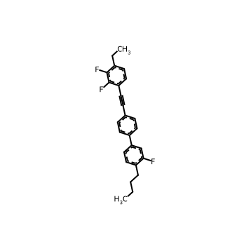 CCCCc1ccc(-c2ccc(C#Cc3ccc(CC)c(F)c3F)cc2)cc1F